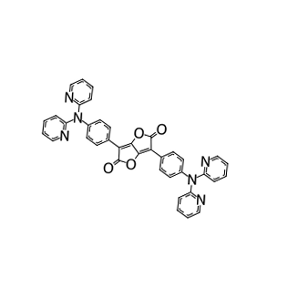 O=C1OC2=C(c3ccc(N(c4ccccn4)c4ccccn4)cc3)C(=O)OC2=C1c1ccc(N(c2ccccn2)c2ccccn2)cc1